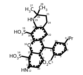 CC(C)c1ccc(C(=O)O)c(-c2c3ccc(=N)c(S(=O)(=O)O)c-3oc3c(S(=O)(=O)O)c4c(cc23)CCC(C)(C)N4)c1